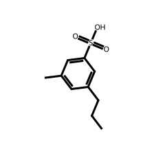 CCCc1cc(C)cc(S(=O)(=O)O)c1